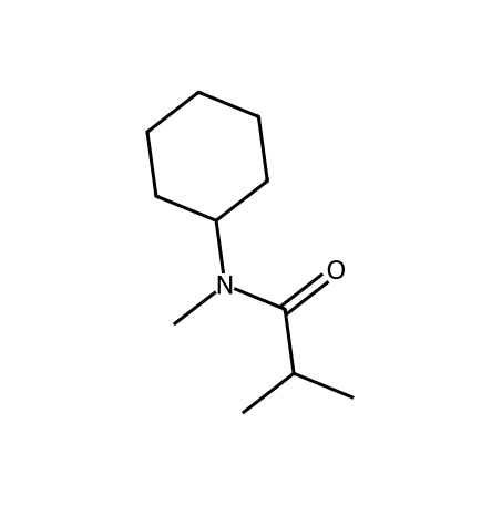 CC(C)C(=O)N(C)C1CCCCC1